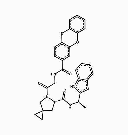 C[C@@H](NC(=O)[C@@H]1CC2(CC2)CN1C(=O)CNC(=O)c1ccc2c(c1)Oc1ccccc1S2)c1cc2cnccc2[nH]1